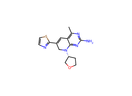 Cc1nc(N)nc2c1C=C(c1nccs1)CN2[C@@H]1CCOC1